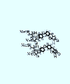 COC(=O)C(Cc1ccc(Oc2ccc(C=C3SC(=O)NC3=O)cc2)cc1)NC(=O)C(N)CCSC.COC(=O)C(Cc1ccc(Oc2ccc(CC3SC(=O)NC3=O)cc2)cc1)NC(=O)C(N)CCSC